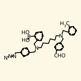 Cc1ccccc1CN(CCCCCCN(Cc1ccc(CN=[N+]=[N-])cc1)Cc1ccccc1B(O)O)Cc1ccc(C=O)cc1